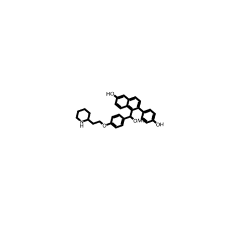 COC(c1ccc(OCCC2CCCCN2)cc1)c1c(-c2ccc(O)cc2)ccc2cc(O)ccc12